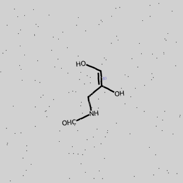 O=CNC/C(O)=C\O